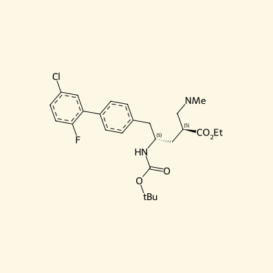 CCOC(=O)[C@H](CNC)C[C@@H](Cc1ccc(-c2cc(Cl)ccc2F)cc1)NC(=O)OC(C)(C)C